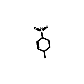 CC1C=CC([SH](=O)=O)CC1